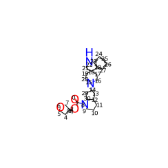 O=C(O[C@@H]1CCOC1)N1CCCC2CC(N3CCC4(CC3)CNc3ccccc34)CC21